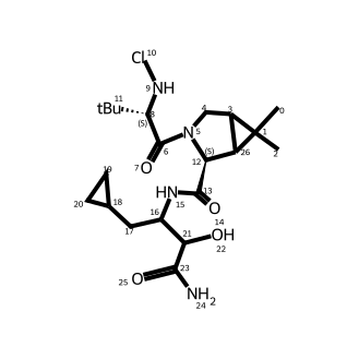 CC1(C)C2CN(C(=O)[C@@H](NCl)C(C)(C)C)[C@H](C(=O)NC(CC3CC3)C(O)C(N)=O)C21